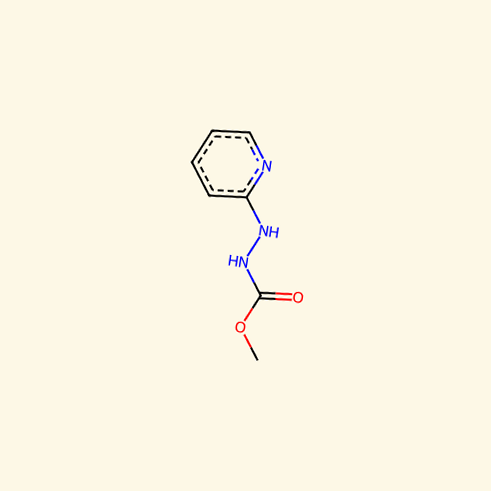 COC(=O)NNc1ccccn1